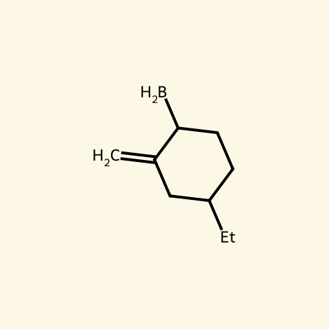 BC1CCC(CC)CC1=C